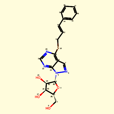 OC[C@H]1O[C@@H](n2ncc3c(SCC=Cc4ccccc4)ncnc32)[C@H](O)[C@@H]1O